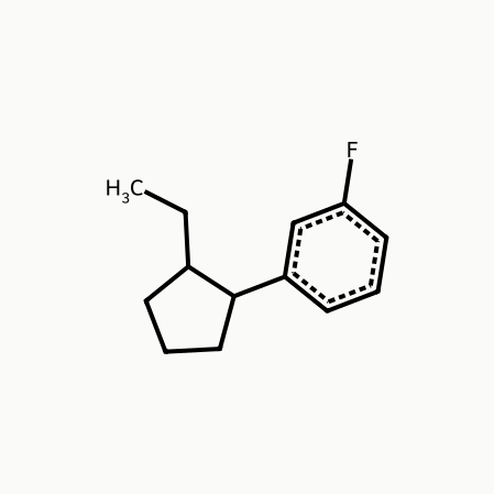 CCC1CCCC1c1cccc(F)c1